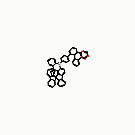 c1ccc(-c2ccccc2-c2c(-c3ccccc3)cccc2-c2ccc(N(c3ccc4c(c3)C3(c5ccccc5-c5ccccc53)c3ccccc3-4)c3ccccc3-c3ccccc3)cc2)cc1